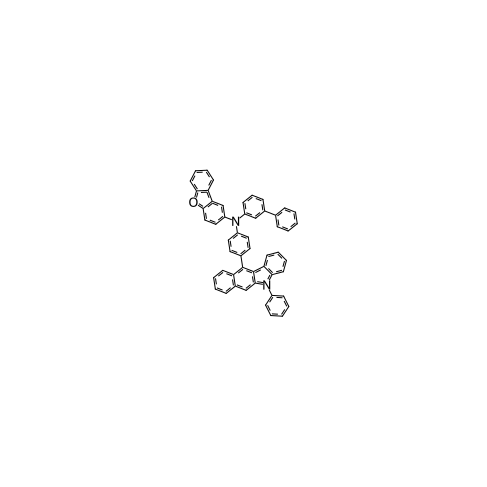 c1ccc(-c2cccc(N(c3ccc(-c4c5ccccc5cc5c4c4ccccc4n5-c4ccccc4)cc3)c3ccc4oc5ccccc5c4c3)c2)cc1